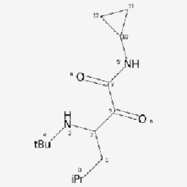 CC(C)CC(NC(C)(C)C)C(=O)C(=O)NC1CC1